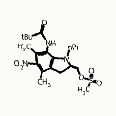 CCCN1c2c(c(C)c([N+](=O)[O-])c(C)c2NC(=O)C(C)(C)C)CC1COS(C)(=O)=O